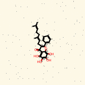 CC(C)=CCC/C(C)=C/Cc1c(-c2ccccc2)oc2c(O)c(O)c(O)c(O)c2c1=O